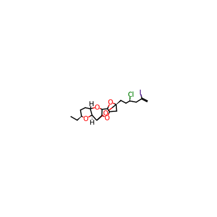 C=C(I)C[C@H](Cl)CC[C@@]12CC3OC4C(O[C@H]5CC[C@H](CC)O[C@@H]5C4O1)C3O2